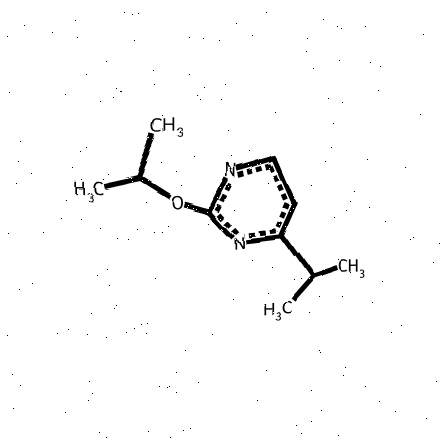 CC(C)Oc1nccc(C(C)C)n1